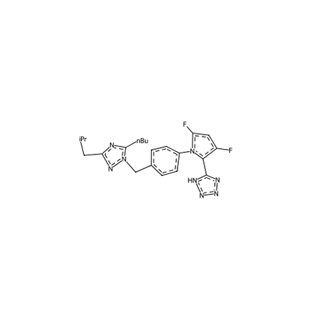 CCCCc1nc(CC(C)C)nn1Cc1ccc(-n2c(F)cc(F)c2-c2nnn[nH]2)cc1